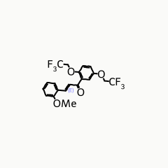 COc1ccccc1/C=C/C(=O)c1cc(OCC(F)(F)F)ccc1OCC(F)(F)F